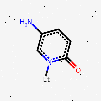 CCn1cc(N)ccc1=O